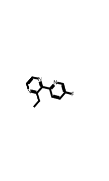 CCc1nccnc1-c1ccc(F)cn1